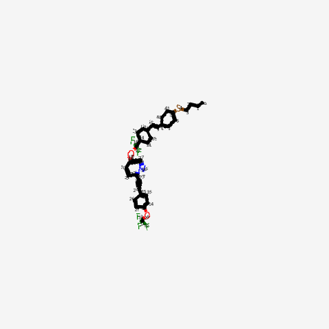 C/C=C/CSC1CCC(/C=C/C2CCC(C(F)(F)Oc3ccc(C#Cc4ccc(OC(F)(F)F)cc4)nc3)CC2)CC1